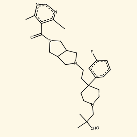 Cc1ncnc(C)c1C(=O)N1CC2CN(CCC3(c4cccc(F)c4)CCN(CC(C)(C)C=O)CC3)CC2C1